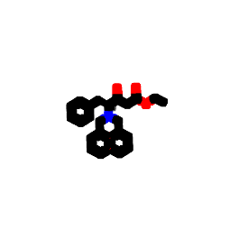 CCOC(=O)CC(=O)[C@H](Cc1ccccc1)N(Cc1ccccc1)Cc1ccccc1